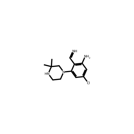 CC1(C)CN(c2cc(Cl)cc(N)c2C=N)CCN1